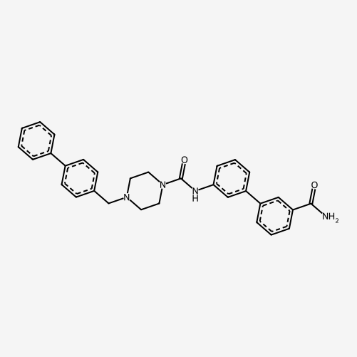 NC(=O)c1cccc(-c2cccc(NC(=O)N3CCN(Cc4ccc(-c5ccccc5)cc4)CC3)c2)c1